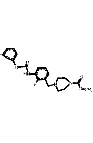 COC(=O)N1CCN(Cc2cccc(NC(=O)Oc3ccccc3)c2F)CC1